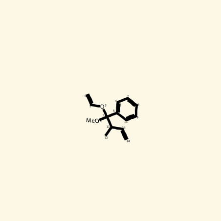 C=COC(OC)(c1ccccc1)C(C)C=C